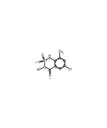 Cc1cc(Cl)cc2c1NS(=O)(=O)N(C(C)C)C2=O